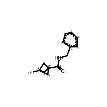 O=C(NCc1ccccc1)C12CC(F)(C1)C2